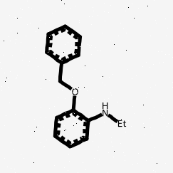 CCNc1ccccc1OCc1ccccc1